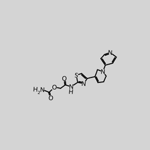 NC(=O)OCC(=O)Nc1nc(C2=CCCN(c3ccncc3)C2)cs1